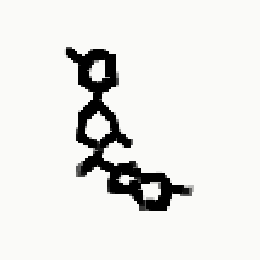 Cc1cccc(C2=CCN(C(=O)c3cc4ncc(Br)cn4n3)C(C)C2)c1